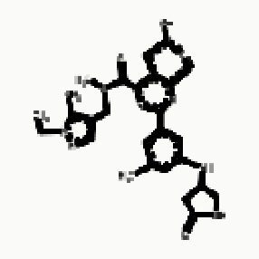 CCn1ncc(CN(C)C(=O)c2nc(-c3cc(C)cc(NC4CNC(=O)C4)c3)nc3ccc(O)cc23)c1C